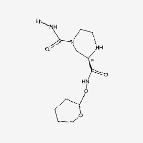 CCNC(=O)N1CCN[C@@H](C(=O)NOC2CCCCO2)C1